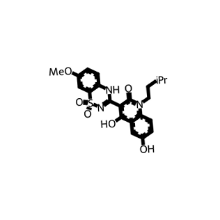 COc1ccc2c(c1)S(=O)(=O)N=C(c1c(O)c3cc(O)ccc3n(CCC(C)C)c1=O)N2